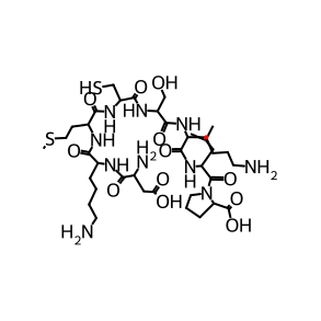 CSCCC(NC(=O)C(CCCCN)NC(=O)C(N)CC(=O)O)C(=O)NC(CS)C(=O)NC(CO)C(=O)NC(CCCCN)C(=O)NC(CC(C)C)C(=O)N1CCCC1C(=O)O